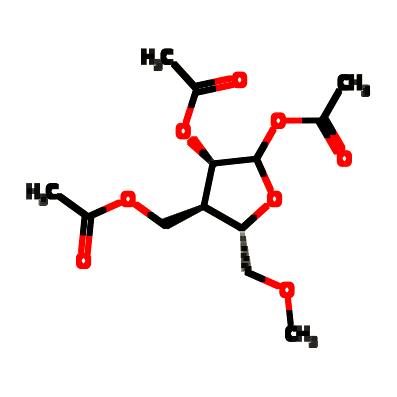 COC[C@H]1OC(OC(C)=O)[C@H](OC(C)=O)[C@@H]1COC(C)=O